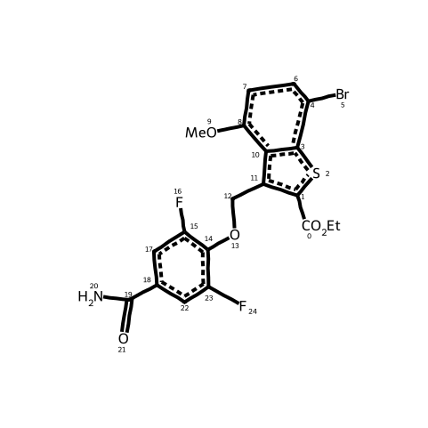 CCOC(=O)c1sc2c(Br)ccc(OC)c2c1COc1c(F)cc(C(N)=O)cc1F